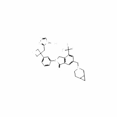 Cn1cnnc1CC1(c2cccc(N3Cc4c(cc(CN5CCC6CC6C5)cc4C(F)(F)F)C3=O)c2)COC1